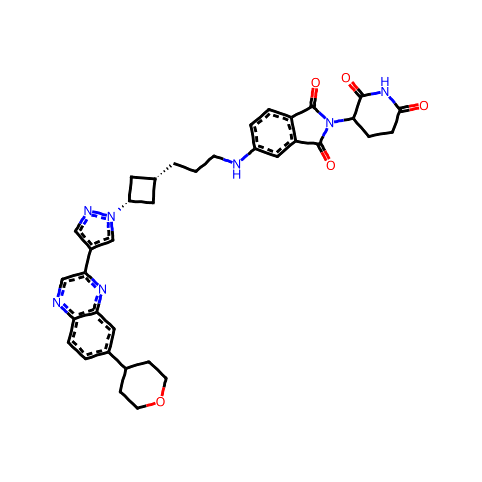 O=C1CCC(N2C(=O)c3ccc(NCCC[C@H]4C[C@@H](n5cc(-c6cnc7ccc(C8CCOCC8)cc7n6)cn5)C4)cc3C2=O)C(=O)N1